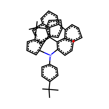 CC(C)(C)c1ccc(N(c2ccccc2-c2cccc3cccc(-c4ccccc4)c23)c2cccc3c2-c2ccccc2C3(C)C)cc1